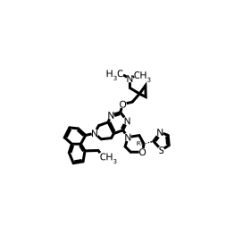 CCc1cccc2cccc(N3CCc4c(nc(OCC5(CN(C)C)CC5)nc4N4CCO[C@@H](c5nccs5)C4)C3)c12